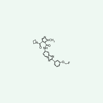 Cn1ncc(C(=O)N2CCC2)c1C(=O)Nc1ccn2nc(-c3cccc(OCF)c3)nc2c1